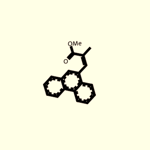 COC(=O)C(C)=Cc1cc2ccccc2c2ccccc12